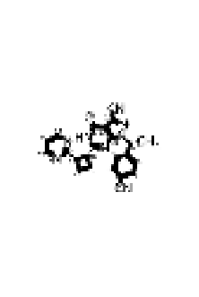 C[C@H](c1ccc(C#N)cc1)n1nc(C#N)c2c(=O)[nH]c([C@@H]3CC[C@H]3c3ncccn3)nc21